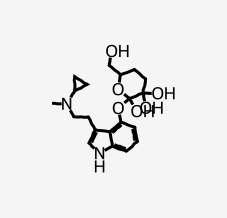 CN(CCc1c[nH]c2cccc(OC3(O)OC(CO)CCC3(O)O)c12)C1CC1